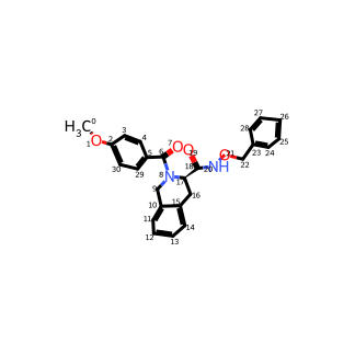 COc1ccc(C(=O)N2Cc3ccccc3C[C@@H]2C(=O)NOCc2ccccc2)cc1